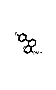 COc1ccnc2c1CCC=C2c1ccc(F)cc1